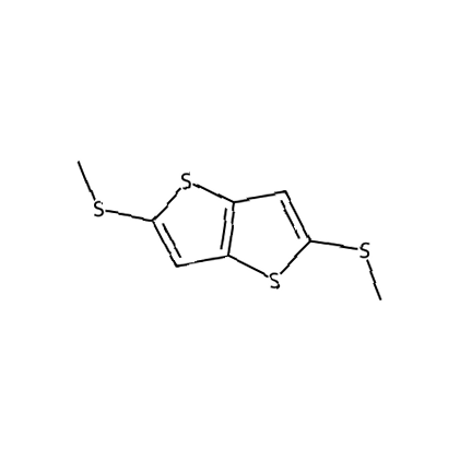 CSc1cc2sc(SC)cc2s1